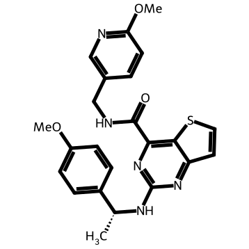 COc1ccc([C@@H](C)Nc2nc(C(=O)NCc3ccc(OC)nc3)c3sccc3n2)cc1